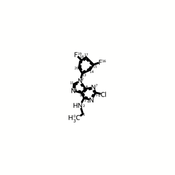 CCNc1nc(Cl)nc2c1ncn2-c1cc(F)cc(F)c1